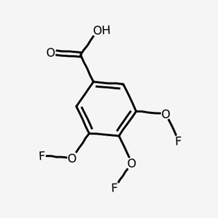 O=C(O)c1cc(OF)c(OF)c(OF)c1